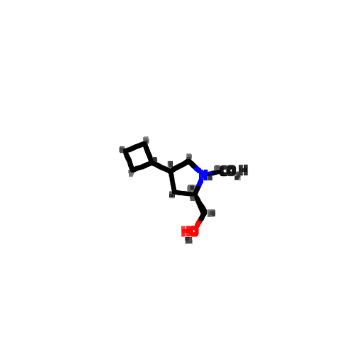 O=C(O)N1CC(C2CCC2)C[C@@H]1CO